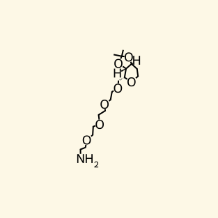 CC1(C)O[C@H]2[C@@H](COCCOCCOCCOCCN)OCC[C@H]2O1